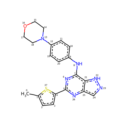 Cc1ccc(-c2nc(Nc3ccc(N4CCOCC4)cc3)c3[nH]ncc3n2)s1